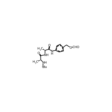 C[C@H](NC(=O)[C@H](C)NC(C)(C)C)C(=O)Nc1ccc(COC=O)cc1